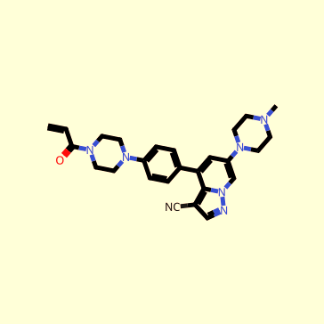 C=CC(=O)N1CCN(c2ccc(-c3cc(N4CCN(C)CC4)cn4ncc(C#N)c34)cc2)CC1